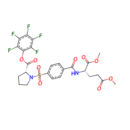 COC(=O)CC[C@H](NC(=O)c1ccc(S(=O)(=O)N2CCC[C@@H]2C(=O)Oc2c(F)c(F)c(F)c(F)c2F)cc1)C(=O)OC